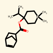 CC(C)C1(OC(=O)C2CC3C=CC2C3)CC[Si](C)(C)CC1